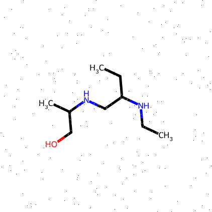 CCNC(CC)CNC(C)CO